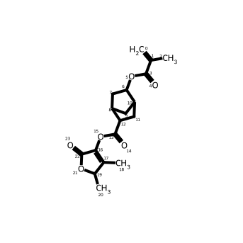 C=C(C)C(=O)OC1CC2CC1CC2C(=O)OC1=C(C)C(C)OC1=O